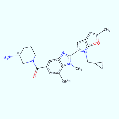 COc1cc(C(=O)N2CCC[C@@H](N)C2)cc2nc(-c3cc4cc(C)oc4n3CC3CC3)n(C)c12